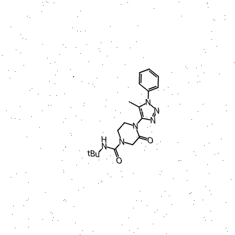 Cc1c(N2CCN(C(=O)NC(C)(C)C)CC2=O)nnn1-c1ccccc1